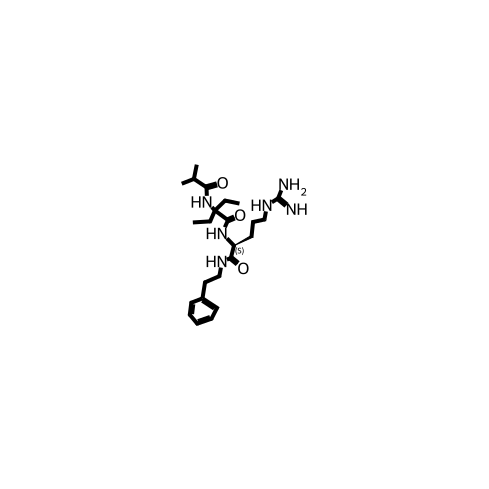 CCC(CC)(NC(=O)C(C)C)C(=O)N[C@@H](CCCNC(=N)N)C(=O)NCCc1ccccc1